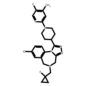 Cc1cc(N2CCC(c3nnc4n3-c3ccc(Cl)cc3CN(CC3(F)CC3)C4)CC2)ncc1F